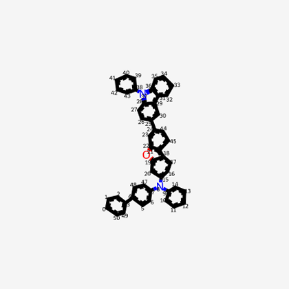 c1ccc(-c2ccc(N(c3ccccc3)c3ccc4c(c3)oc3cc(-c5ccc6c(c5)c5ccccc5n6-c5ccccc5)ccc34)cc2)cc1